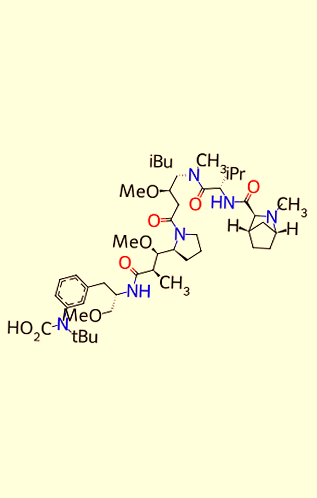 CC[C@H](C)[C@@H]([C@@H](CC(=O)N1CCC[C@H]1[C@H](OC)[C@@H](C)C(=O)N[C@H](COC)Cc1cccc(N(C(=O)O)C(C)(C)C)c1)OC)N(C)C(=O)[C@@H](NC(=O)[C@@H]1[C@H]2CC[C@H](C2)N1C)C(C)C